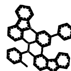 Cc1ccccc1N1B2c3c(cc(-c4ccccc4)cc3-n3c4ccccc4c4cccc2c43)-c2c1ccc1sc3ccccc3c21